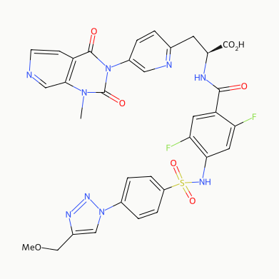 COCc1cn(-c2ccc(S(=O)(=O)Nc3cc(F)c(C(=O)N[C@@H](Cc4ccc(-n5c(=O)c6ccncc6n(C)c5=O)cn4)C(=O)O)cc3F)cc2)nn1